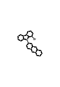 Brc1cccc2c3ccccc3n(-c3ccc4cc5ccccc5cc4c3)c12